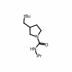 CC(C)NC(=O)N1CCC(CC(C)(C)C)C1